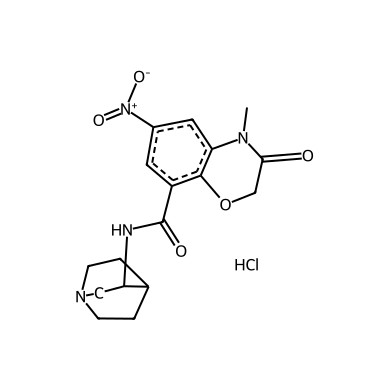 CN1C(=O)COc2c(C(=O)NC3CN4CCC3CC4)cc([N+](=O)[O-])cc21.Cl